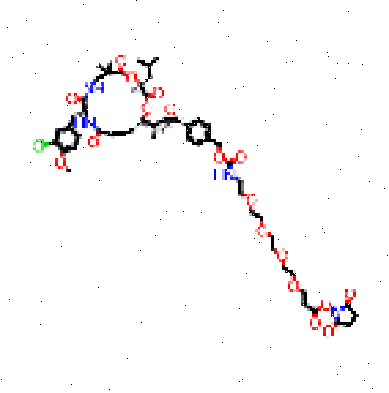 COc1ccc(C[C@H]2NC(=O)C=CC[C@@H]([C@H](C)[C@@H]3O[C@H]3c3ccc(COC(=O)NCCOCCOCCOCCOCCC(=O)ON4C(=O)CCC4=O)cc3)OC(=O)[C@H](CC(C)C)OC(=O)C(C)(C)CNC2=O)cc1Cl